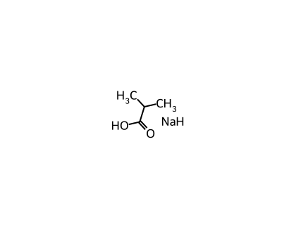 CC(C)C(=O)O.[NaH]